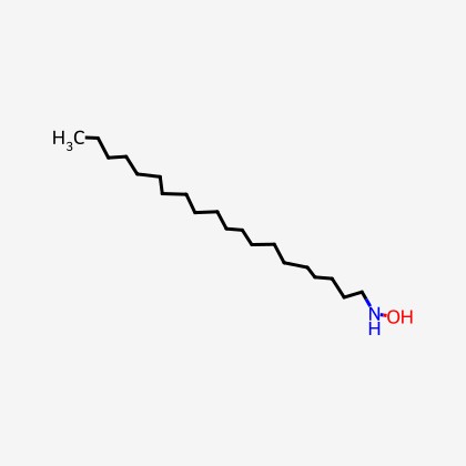 CCCCCCCCCCCCCCCCCCCCNO